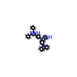 c1ccc(C2=NC(c3ccccc3)CC(c3ccc(N4c5ccc(-n6c7ccccc7c7ccccc76)cc5C5CNCCC54)cc3)N2)cc1